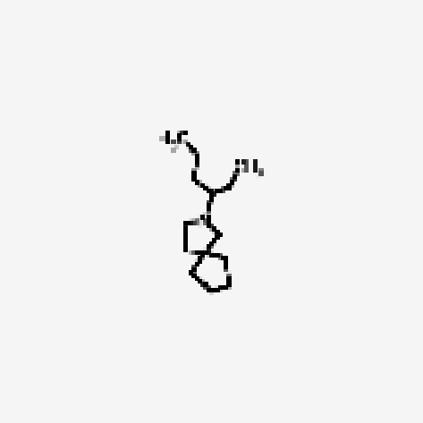 CCCC(CC)N1CCC2(CCCC2)C1